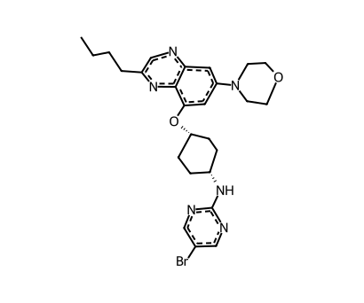 CCCCc1cnc2cc(N3CCOCC3)cc(O[C@H]3CC[C@@H](Nc4ncc(Br)cn4)CC3)c2n1